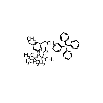 CCc1cc(CC)cc([PH+](C(C)(C)C)C(C)(C)C)c1.c1ccc([B-](c2ccccc2)(c2ccccc2)c2ccccc2)cc1